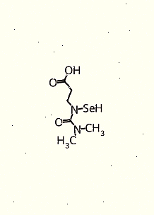 CN(C)C(=O)N([SeH])CCC(=O)O